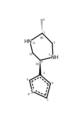 C[C@@H]1CN[C@@H](c2ccsc2)CN1